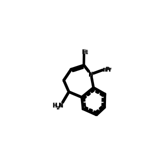 CCCN1C(CC)=CCC(N)c2ccccc21